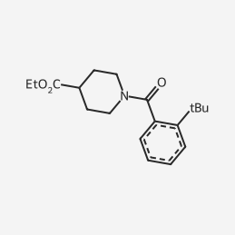 CCOC(=O)C1CCN(C(=O)c2ccccc2C(C)(C)C)CC1